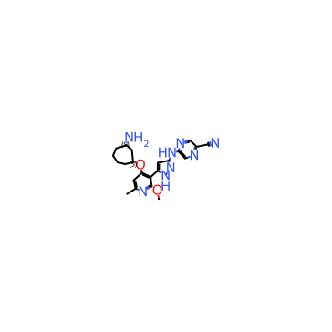 COc1nc(C)cc(O[C@H]2CCCC[C@H](N)C2)c1-c1cc(Nc2cnc(C#N)cn2)n[nH]1